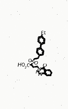 CCc1ccc(-c2ccc(CCS(=O)(=O)C(CCn3nnc4ccccc4c3=O)C(=O)O)cc2)cc1